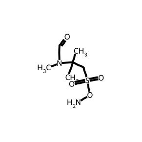 CN(C=O)C(C)(C)CS(=O)(=O)ON